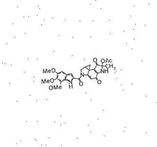 COc1cc2cc(C(=O)N3CC4C[C@@]45C3=CC(=O)C3=C5C(=O)C(C)(OC(C)=O)N3)[nH]c2c(OC)c1OC